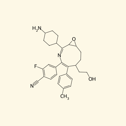 Cc1ccc(/C2=C(c3ccc(C#N)c(F)c3)/N=C(/C3CCC(N)CC3)C3OC3CCC2CCO)cc1